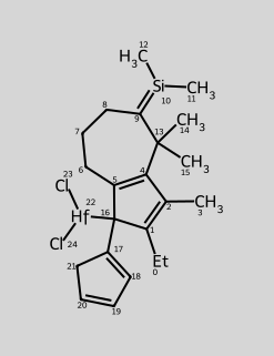 CCC1=C(C)C2=C(CCCC(=[Si](C)C)C2(C)C)[C]1(C1=CC=CC1)[Hf]([Cl])[Cl]